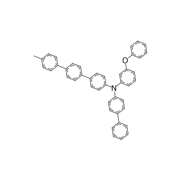 Cc1ccc(-c2ccc(-c3ccc(N(c4ccc(-c5ccccc5)cc4)c4cccc(Oc5ccccc5)c4)cc3)cc2)cc1